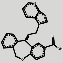 O=C(O)c1ccc2c(c1)C(=CCn1cnc3ncccc31)c1ccccc1CO2